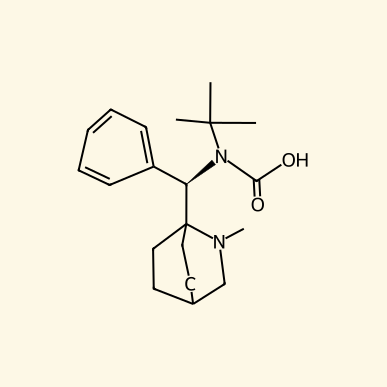 CN1CC2CCC1([C@@H](c1ccccc1)N(C(=O)O)C(C)(C)C)CC2